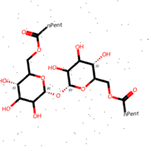 CCCCCC(=O)OCC1O[C@H](O[C@H]2OC(COC(=O)CCCCC)[C@@H](O)C(O)C2O)C(O)C(O)[C@@H]1O